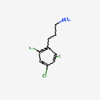 Cl.NCCCc1ccc(Cl)cc1Cl